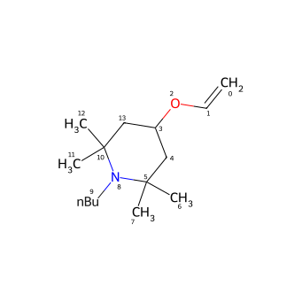 C=COC1CC(C)(C)N(CCCC)C(C)(C)C1